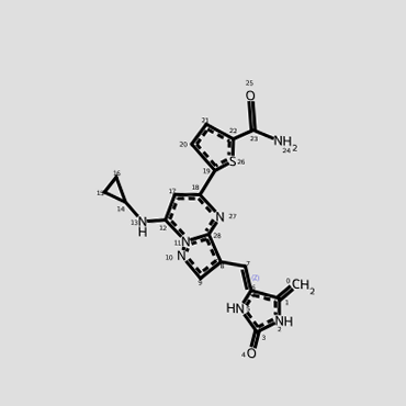 C=c1[nH]c(=O)[nH]/c1=C\c1cnn2c(NC3CC3)cc(-c3ccc(C(N)=O)s3)nc12